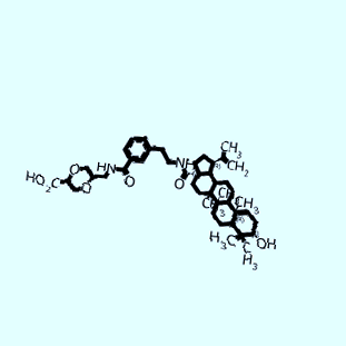 C=C(C)[C@@H]1CC[C@]2(C(=O)NCCc3cccc(C(=O)NCC4COC(C(=O)O)CO4)c3)CC[C@]3(C)C(CCC4[C@@]5(C)CC[C@H](O)C(C)(C)C5CC[C@]43C)C12